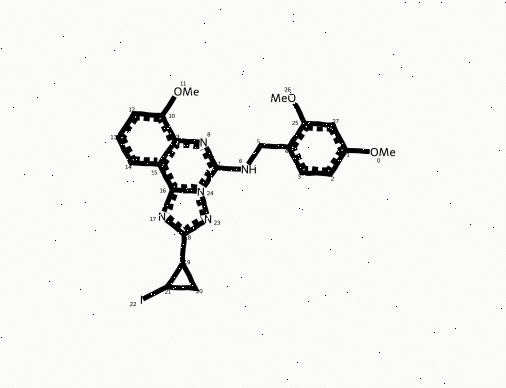 COc1ccc(CNc2nc3c(OC)cccc3c3nc(C4CC4I)nn23)c(OC)c1